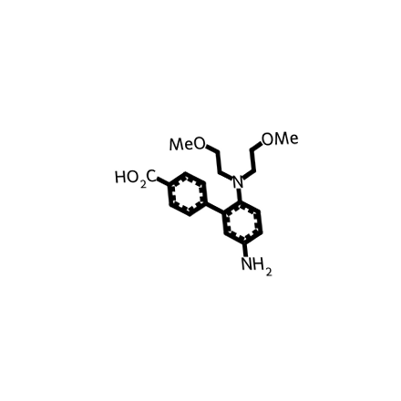 COCCN(CCOC)c1ccc(N)cc1-c1ccc(C(=O)O)cc1